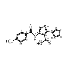 Cc1ccc(C(=O)Nc2csc(-c3cccs3)c2C(=O)O)cc1